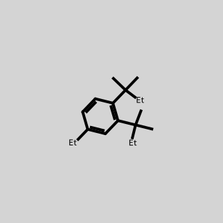 [CH2]Cc1ccc(C(C)(C)CC)c(C(C)(C)CC)c1